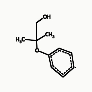 CC(C)(CO)Oc1cc[c]cc1